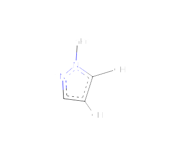 CCCn1ncc(C)c1C